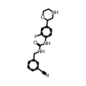 N#Cc1cccc(CNC(=O)Nc2ccc(C3CNCCO3)cc2F)c1